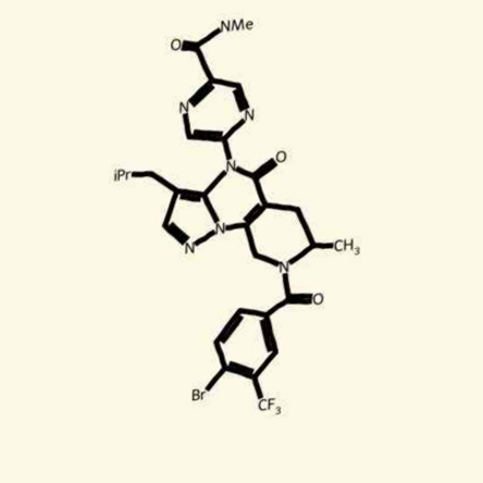 CNC(=O)c1cnc(-n2c(=O)c3c(n4ncc(CC(C)C)c24)CN(C(=O)c2ccc(Br)c(C(F)(F)F)c2)C(C)C3)cn1